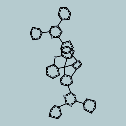 c1ccc(-c2cc(-c3ccccc3)nc(-c3ccc(-c4cccc5c4C4(c6ccccc6Oc6ccccc64)c4ccc(-c6nc(-c7ccccc7)nc(-c7ccccc7)n6)cc4-5)cc3)n2)cc1